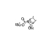 CC(C)(C)OC(=O)N1C2CCC(C2)C1O